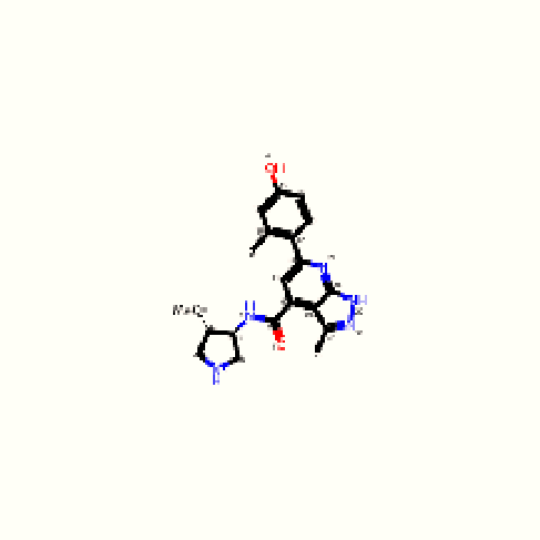 CO[C@H]1CNC[C@@H]1NC(=O)c1cc(-c2ccc(O)cc2C)nc2[nH]nc(C)c12